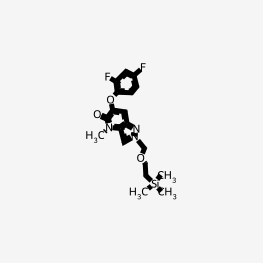 Cn1c(=O)c(Oc2ccc(F)cc2F)cc2nn(COCC[Si](C)(C)C)cc21